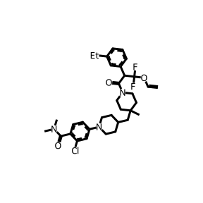 C=COC(F)(F)C(C(=O)N1CCC(C)(CC2CCN(c3ccc(C(=O)N(C)C)c(Cl)c3)CC2)CC1)c1cccc(CC)c1